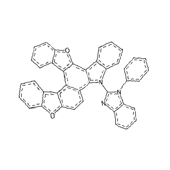 c1ccc(-n2c(-n3c4ccccc4c4c5oc6ccccc6c5c5c(ccc6oc7ccccc7c65)c43)nc3ccccc32)cc1